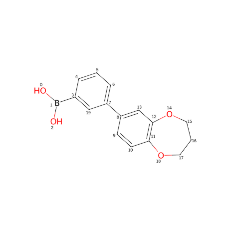 OB(O)c1cccc(-c2ccc3c(c2)OCCCO3)c1